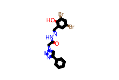 O=C(Cn1cc(-c2ccccc2)nn1)NN=Cc1cc(Br)cc(Br)c1O